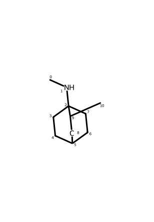 CNC12CCC(CC1)CC2C